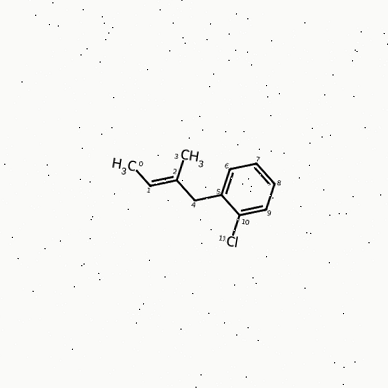 C/C=C(\C)Cc1ccccc1Cl